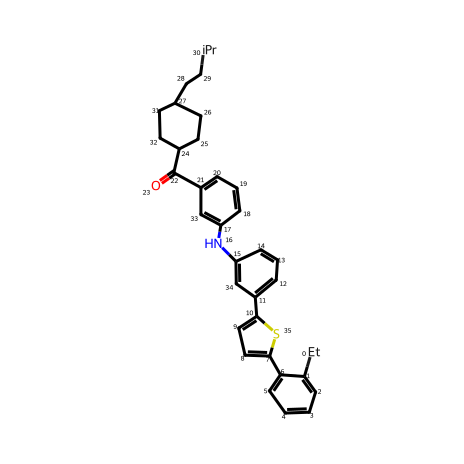 CCc1ccccc1-c1ccc(-c2cccc(Nc3cccc(C(=O)C4CCC(CCC(C)C)CC4)c3)c2)s1